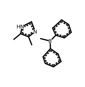 CB(c1ccccc1)c1ccccc1.Cc1nc[nH]c1C